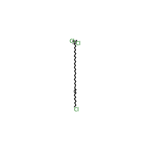 C[Si](Cl)(Cl)CCCCCCCCCCCCCCCCCCCCCCCCCCCCCCCCCCl